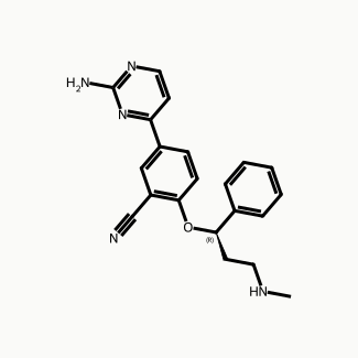 CNCC[C@@H](Oc1ccc(-c2ccnc(N)n2)cc1C#N)c1ccccc1